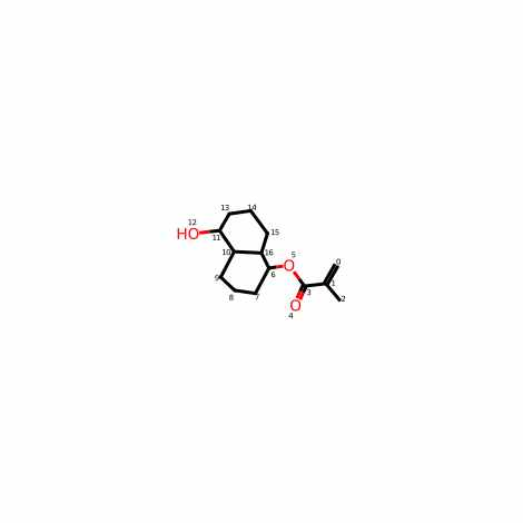 C=C(C)C(=O)OC1CCCC2C(O)CCCC12